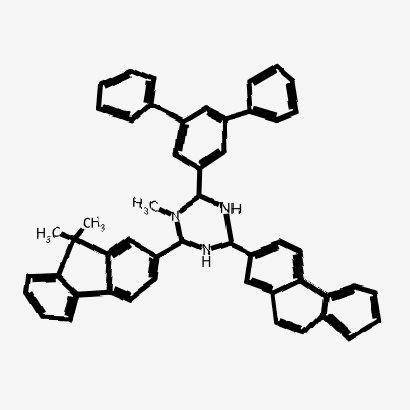 CN1C(c2cc(-c3ccccc3)cc(-c3ccccc3)c2)NC(c2ccc3c(ccc4ccccc43)c2)NC1c1ccc2c(c1)C(C)(C)c1ccccc1-2